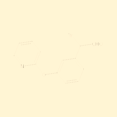 O=CC(Br)c1cccc(Oc2ccccn2)c1